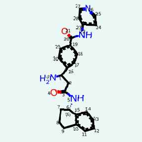 NC(CC(=O)N[C@H]1CCCc2ccccc21)c1ccc(C(=O)Nc2ccncc2)cc1